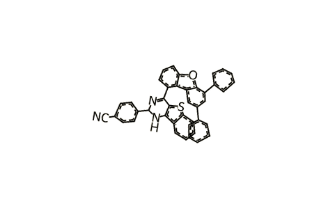 N#Cc1ccc(C2N=C(c3cccc4oc5c(-c6ccccc6)cc(-c6ccccc6)cc5c34)c3sc4ccccc4c3N2)cc1